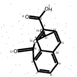 O=C(O)c1cc2c3cccc2cc1C(=O)OC3=O